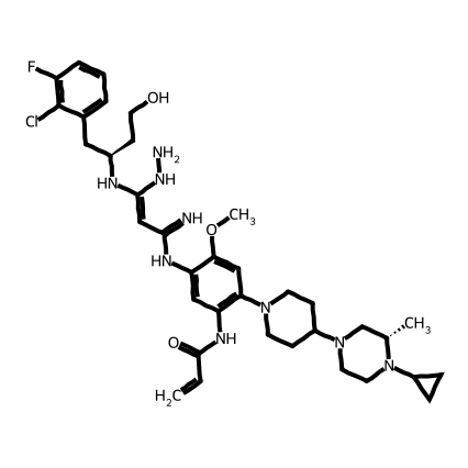 C=CC(=O)Nc1cc(NC(=N)/C=C(\NN)N[C@H](CCO)Cc2cccc(F)c2Cl)c(OC)cc1N1CCC(N2CCN(C3CC3)[C@@H](C)C2)CC1